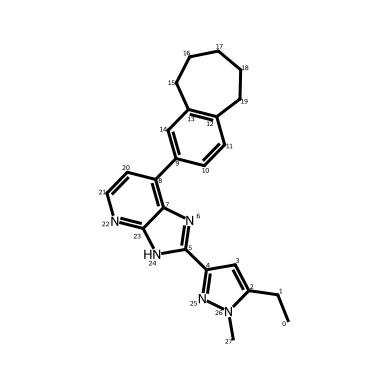 CCc1cc(-c2nc3c(-c4ccc5c(c4)CCCCC5)ccnc3[nH]2)nn1C